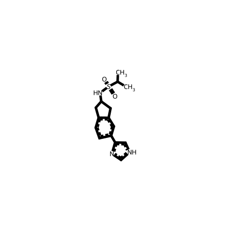 CC(C)S(=O)(=O)NC1Cc2ccc(-c3c[nH]cn3)cc2C1